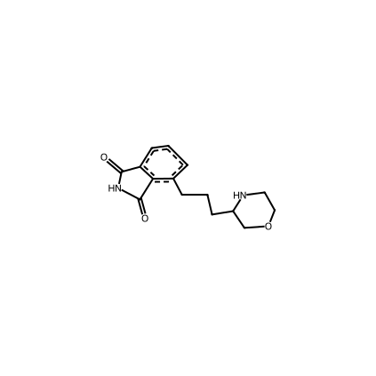 O=C1NC(=O)c2c(CCCC3COCCN3)cccc21